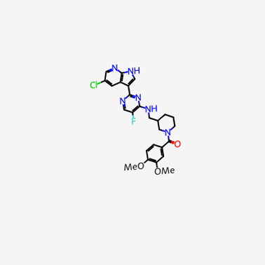 COc1ccc(C(=O)N2CCCC(CNc3nc(-c4c[nH]c5ncc(Cl)cc45)ncc3F)C2)cc1OC